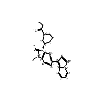 CCC(=O)N1CCCC(n2c(=O)n(C)c3ccc(-c4cnn5ccccc45)nc32)C1